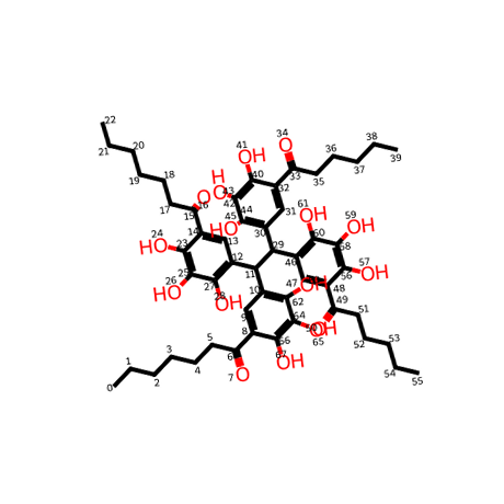 CCCCCCC(=O)c1cc(C(c2cc(C(=O)CCCCCC)c(O)c(O)c2O)C(c2cc(C(=O)CCCCC)c(O)c(O)c2O)c2cc(C(=O)CCCCC)c(O)c(O)c2O)c(O)c(O)c1O